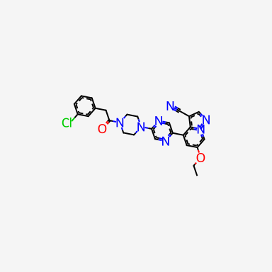 CCOc1cc(-c2cnc(N3CCN(C(=O)Cc4cccc(Cl)c4)CC3)cn2)c2c(C#N)cnn2c1